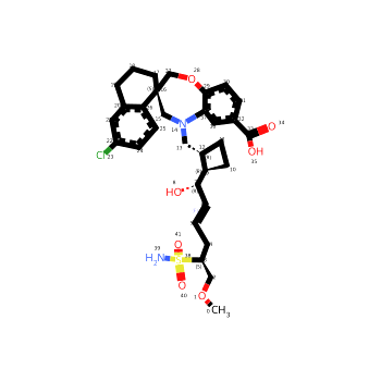 COC[C@H](C/C=C/[C@H](O)[C@@H]1CC[C@H]1CN1C[C@@]2(CCCc3cc(Cl)ccc32)COc2ccc(C(=O)O)cc21)S(N)(=O)=O